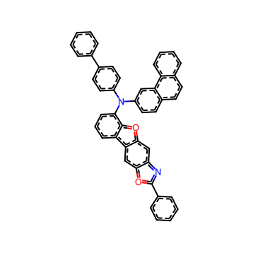 c1ccc(-c2ccc(N(c3ccc4ccc5ccccc5c4c3)c3cccc4c3oc3cc5nc(-c6ccccc6)oc5cc34)cc2)cc1